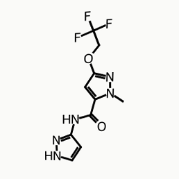 Cn1nc(OCC(F)(F)F)cc1C(=O)Nc1cc[nH]n1